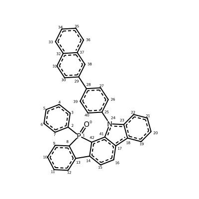 O=P1(c2ccccc2)c2ccccc2-c2ccc3c4ccccc4n(-c4ccc(-c5ccc6ccccc6c5)cc4)c3c21